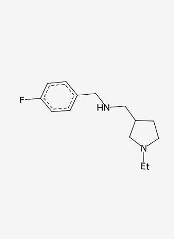 CCN1CCC(CNCc2ccc(F)cc2)C1